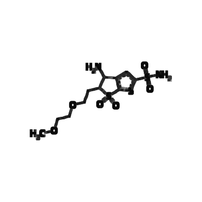 COCCOCCC1C(N)c2cc(S(N)(=O)=O)sc2S1(=O)=O